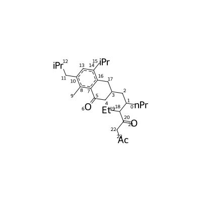 CCCC(CC1CC(=O)c2c(C)c(CC(C)C)cc(C(C)C)c2C1)C(CC)C(=O)CC(C)=O